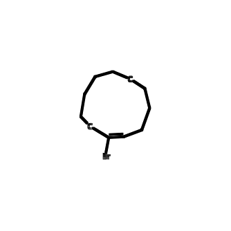 Br/C1=C/CCCCCCCCC1